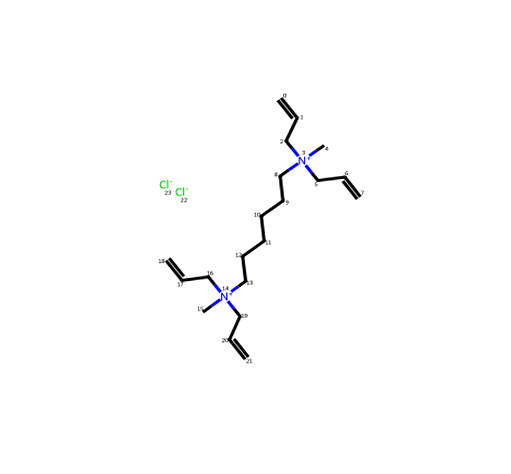 C=CC[N+](C)(CC=C)CCCCCC[N+](C)(CC=C)CC=C.[Cl-].[Cl-]